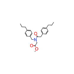 CCCc1ccc(CC(=O)N(CC(=O)OC)Cc2ccc(CCC)cc2)cc1